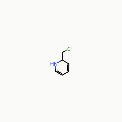 ClCC1C=CC=CN1